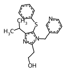 CC(C)c1nc(CCO)n(Cc2cccnc2)c1Sc1ccccc1